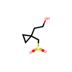 O=[SH](=O)CC1(CCO)CC1